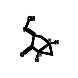 O=C1C(=NO)C[C@H]2C[C@@H]12